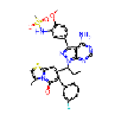 CCC(c1cc2scc(C)n2c(=O)c1-c1cccc(F)c1)n1nc(-c2ccc(OC)c(NS(C)(=O)=O)c2)c2c(N)ncnc21